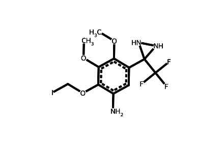 COc1c(C2(C(F)(F)F)NN2)cc(N)c(OCI)c1OC